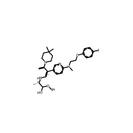 C=C(/C(=C\N[C@@H](C)C(O)OC(C)C)c1ccc(N(C)CCOc2ccc(F)cc2)nc1)N1CCC(C)(C)CC1